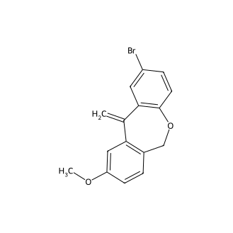 C=C1c2cc(OC)ccc2COc2ccc(Br)cc21